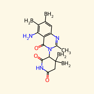 Bc1cc2nc(C)n(C3C(=O)NC(=O)CC3(B)B)c(=O)c2c(N)c1B